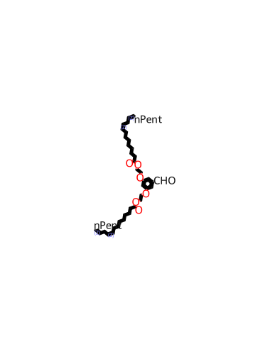 CCCCC/C=C\C/C=C\CCCCCCCC(=O)OCCOc1cc(C=O)cc(OCCOC(=O)CCCCCCC/C=C\C/C=C\CCCCC)c1